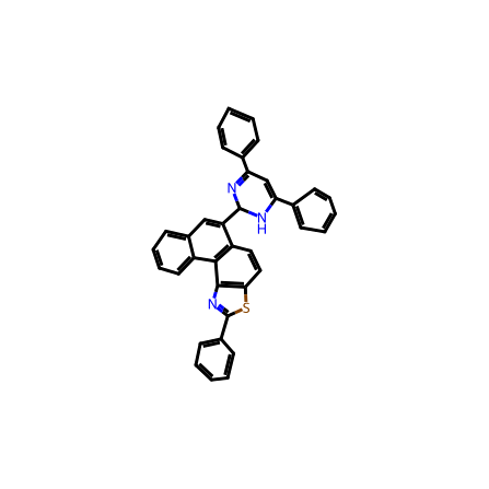 C1=C(c2ccccc2)NC(c2cc3ccccc3c3c2ccc2sc(-c4ccccc4)nc23)N=C1c1ccccc1